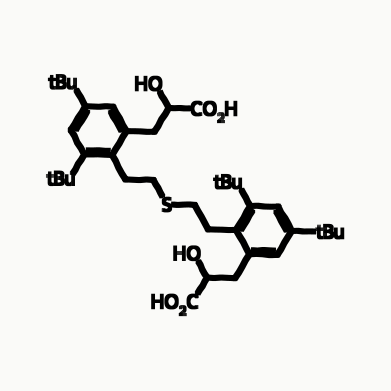 CC(C)(C)c1cc(CC(O)C(=O)O)c(CCSCCc2c(CC(O)C(=O)O)cc(C(C)(C)C)cc2C(C)(C)C)c(C(C)(C)C)c1